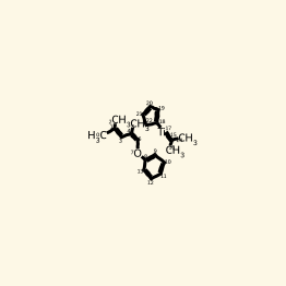 CC(C)=CC(C)=COc1ccccc1.C[C](C)=[Ti][C]1=CC=CC1